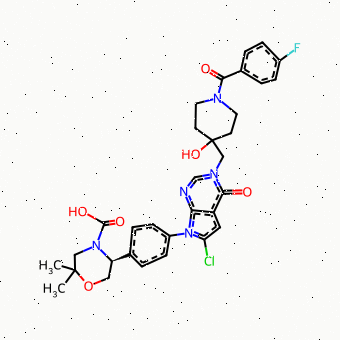 CC1(C)CN(C(=O)O)[C@@H](c2ccc(-n3c(Cl)cc4c(=O)n(CC5(O)CCN(C(=O)c6ccc(F)cc6)CC5)cnc43)cc2)CO1